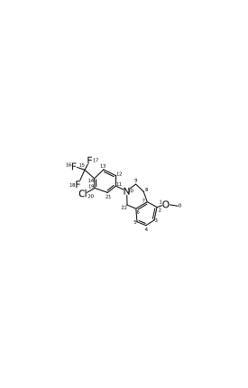 COc1cccc2c1CCN(c1ccc(C(F)(F)F)c(Cl)c1)C2